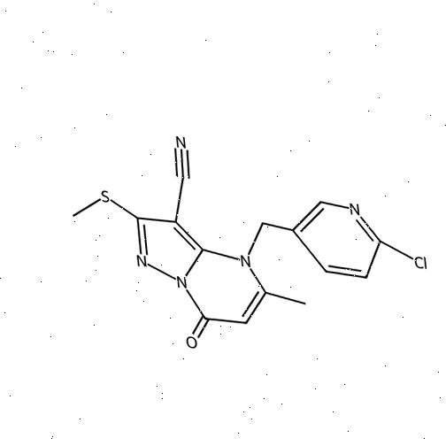 CSc1nn2c(=O)cc(C)n(Cc3ccc(Cl)nc3)c2c1C#N